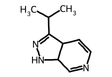 CC(C)C1=NNC2C=NC=CC12